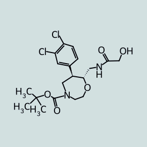 CC(C)(C)OC(=O)N1CCO[C@@H](CNC(=O)CO)[C@H](c2ccc(Cl)c(Cl)c2)C1